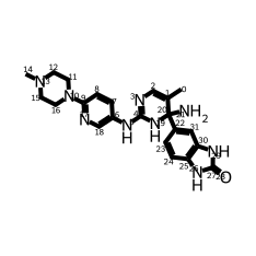 CC1=CN=C(Nc2ccc(N3CCN(C)CC3)nc2)NC1(N)c1ccc2[nH]c(=O)[nH]c2c1